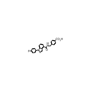 O=C(O)c1ccc(CNC(=O)c2cccc3c2cnn3-c2ccc(F)cc2)cc1